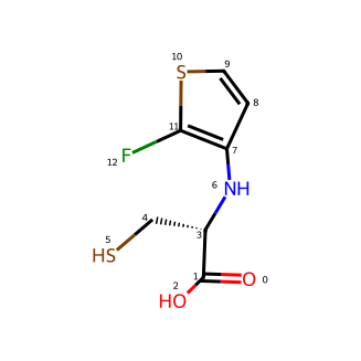 O=C(O)[C@H](CS)Nc1ccsc1F